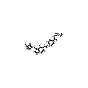 Cc1c(COc2ccc(C(C)CC(=O)O)cc2)ccc2ccn(Cc3cnn(C)c3)c12